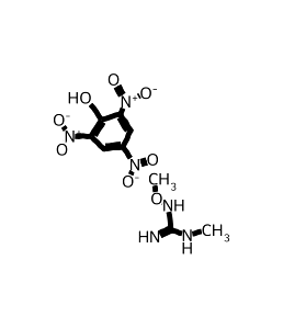 CNC(=N)NOC.O=[N+]([O-])c1cc([N+](=O)[O-])c(O)c([N+](=O)[O-])c1